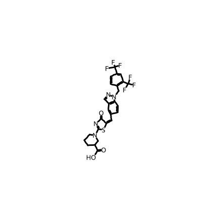 O=C1N=C(N2CCCC(C(=O)O)C2)SC1=Cc1ccc2c(cnn2Cc2ccc(C(F)(F)F)cc2C(F)(F)F)c1